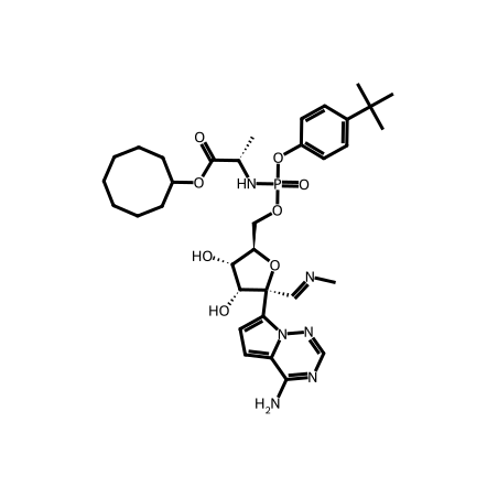 CN=C[C@@]1(c2ccc3c(N)ncnn23)O[C@H](COP(=O)(N[C@@H](C)C(=O)OC2CCCCCCC2)Oc2ccc(C(C)(C)C)cc2)[C@@H](O)[C@H]1O